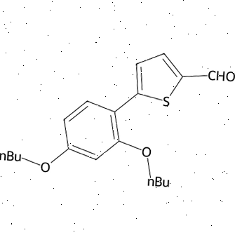 CCCCOc1ccc(-c2ccc(C=O)s2)c(OCCCC)c1